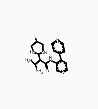 NC(N)C(C(=O)Nc1cnccc1-c1ccncc1)C1NCC(F)CN1